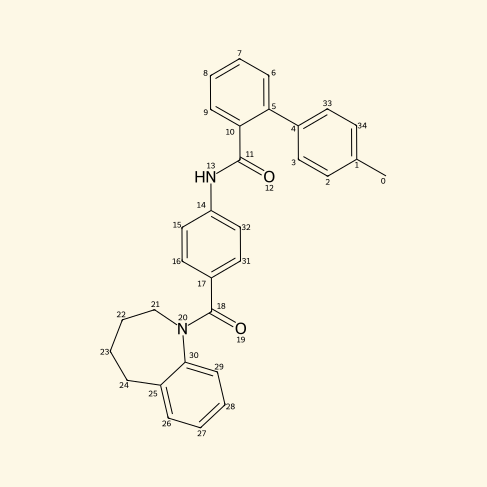 Cc1ccc(-c2ccccc2C(=O)Nc2ccc(C(=O)N3CCCCc4ccccc43)cc2)cc1